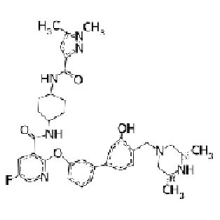 Cc1cc(C(=O)NC2CCC(NC(=O)c3cc(F)cnc3Oc3cccc(-c4ccc(CN5C[C@@H](C)N[C@@H](C)C5)c(O)c4)c3)CC2)nn1C